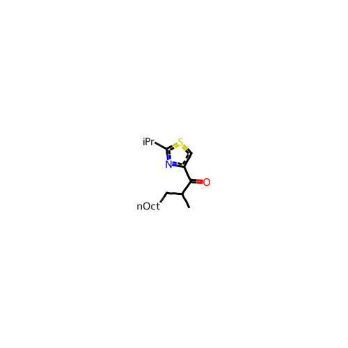 CCCCCCCCCC(C)C(=O)c1csc(C(C)C)n1